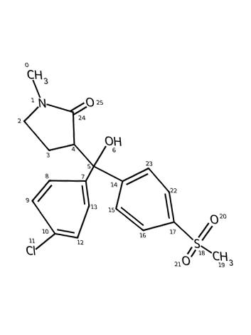 CN1CCC(C(O)(c2ccc(Cl)cc2)c2ccc(S(C)(=O)=O)cc2)C1=O